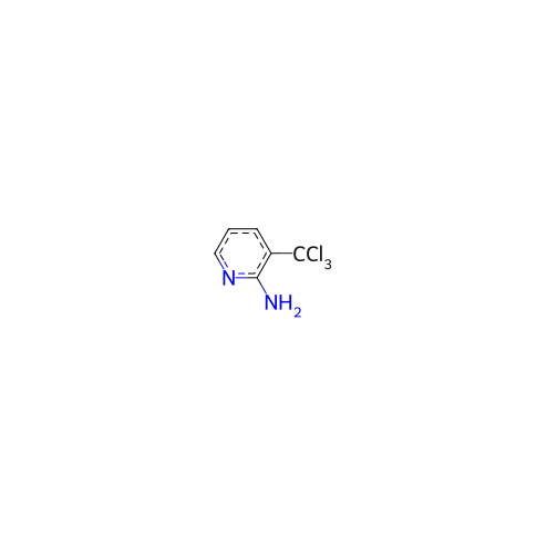 Nc1ncccc1C(Cl)(Cl)Cl